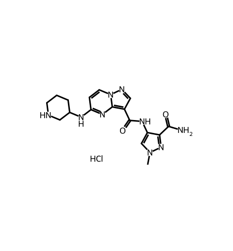 Cl.Cn1cc(NC(=O)c2cnn3ccc(NC4CCCNC4)nc23)c(C(N)=O)n1